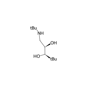 CC(C)(C)NC[C@@H](O)[C@H](O)C(C)(C)C